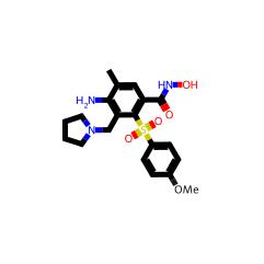 COc1ccc(S(=O)(=O)c2c(C(=O)NO)cc(C)c(N)c2CN2CCCC2)cc1